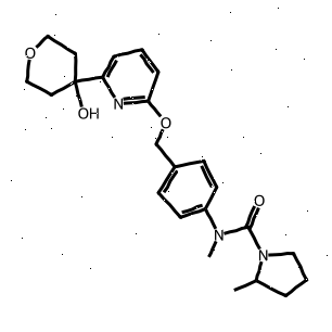 CC1CCCN1C(=O)N(C)c1ccc(COc2cccc(C3(O)CCOCC3)n2)cc1